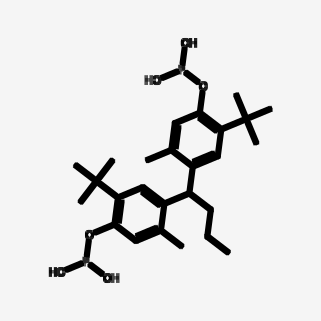 CCCC(c1cc(C(C)(C)C)c(OP(O)O)cc1C)c1cc(C(C)(C)C)c(OP(O)O)cc1C